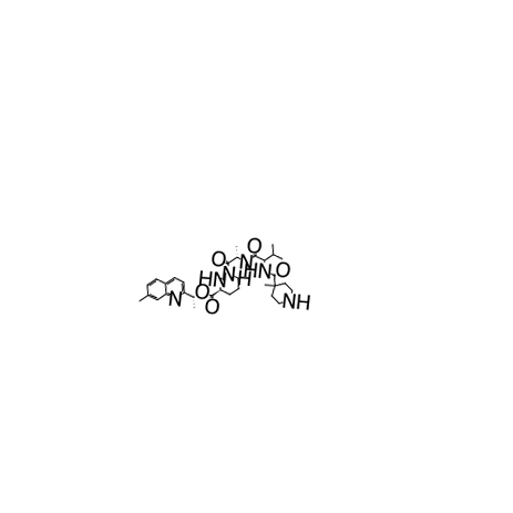 Cc1ccc2ccc([C@@H](C)OC(=O)[C@@H]3CCCN(C(=O)[C@H](C)NC(=O)[C@@H](NC(=O)C4(C)CCNCC4)C(C)C)N3)nc2c1